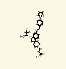 O=C(O)C(F)(F)F.O=C(O)CCN1CCC2(CC1)COc1cc(OCc3ccc(-n4cccn4)cc3)ccc12